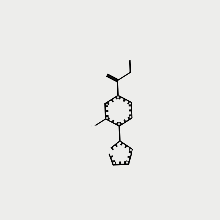 O=C(CO)c1ccc(-c2ccco2)c([N+](=O)[O-])c1